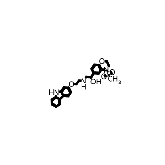 CS(=O)(=O)N1CCOc2ccc(C(O)CNCCOc3ccc4c(c3)[nH]c3ccccc34)cc21